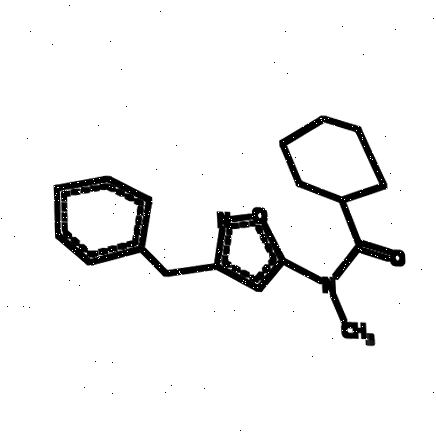 CN(C(=O)C1CCCCC1)c1cc(Cc2ccccc2)no1